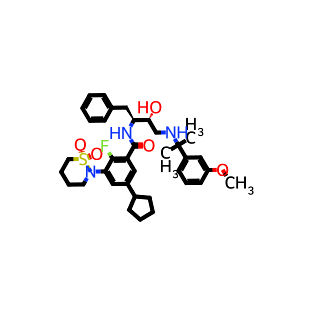 COc1cccc(C(C)(C)NC[C@@H](O)[C@H](Cc2ccccc2)NC(=O)c2cc(C3CCCC3)cc(N3CCCCS3(=O)=O)c2F)c1